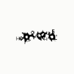 O=C(CN1CC2=CC(Oc3ccc(F)cc3F)=C[C@]2(O)C1)c1cc(F)c(O)c(F)c1